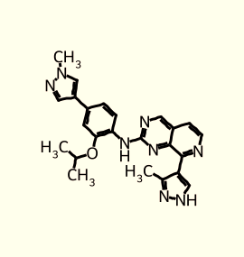 Cc1n[nH]cc1-c1nccc2cnc(Nc3ccc(-c4cnn(C)c4)cc3OC(C)C)nc12